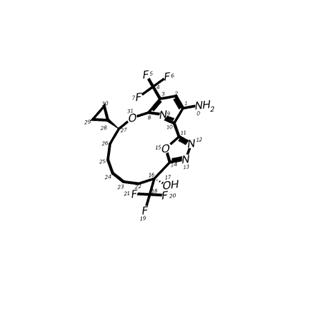 Nc1cc(C(F)(F)F)c2nc1-c1nnc(o1)[C@@](O)(C(F)(F)F)CCCCC[C@@H](C1CC1)O2